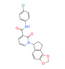 O=C(Nc1ccc(Cl)cc1)c1cccn(C2CCc3c2ccc2c3OCO2)c1=O